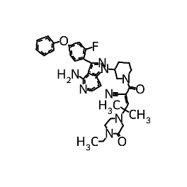 CCN1CCN(C(C)(C)C=C(C#N)C(=O)N2CCCC(n3nc(-c4ccc(Oc5ccccc5)cc4F)c4c(N)nccc43)C2)CC1=O